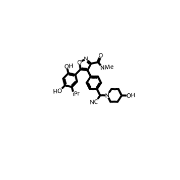 CNC(=O)c1noc(-c2cc(C(C)C)c(O)cc2O)c1-c1ccc(C(C#N)N2CCC(O)CC2)cc1